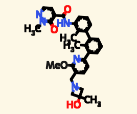 COc1nc(-c2cccc(-c3cccc(NC(=O)c4ccnn(C)c4=O)c3C)c2C)ccc1CN1CC(C)(O)C1